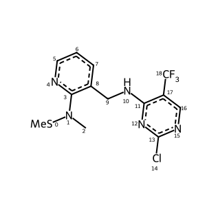 CSN(C)c1ncccc1CNc1nc(Cl)ncc1C(F)(F)F